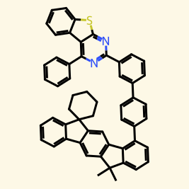 CC1(C)c2cc3c(cc2-c2c(-c4ccc(-c5cccc(-c6nc(-c7ccccc7)c7c(n6)sc6ccccc67)c5)cc4)cccc21)C1(CCCCC1)c1ccccc1-3